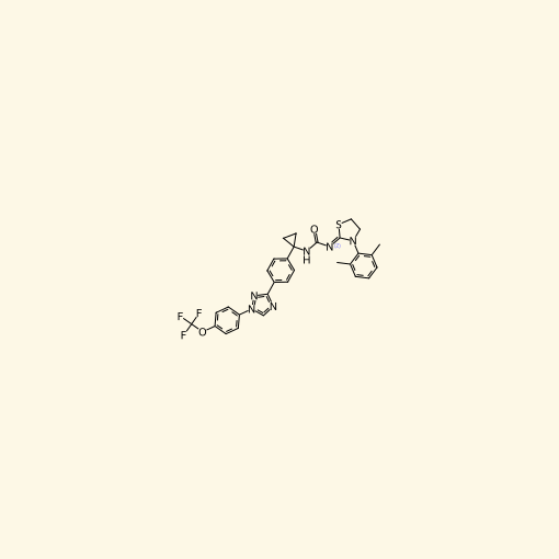 Cc1cccc(C)c1N1CCS/C1=N\C(=O)NC1(c2ccc(-c3ncn(-c4ccc(OC(F)(F)F)cc4)n3)cc2)CC1